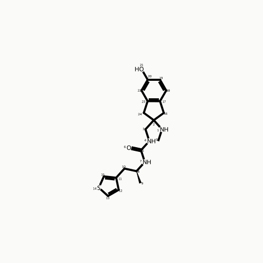 CNC1(CNC(=O)N[C@@H](C)Cc2ccsc2)Cc2ccc(O)cc2C1